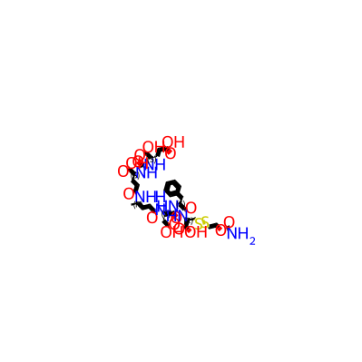 C[C@H](CCC(=O)N[C@@H](CC(=O)O)C(=O)N[C@@H](Cc1ccccc1)C(=O)N[C@@H](CSSCCOC(N)=O)C(=O)O)NC(=O)CC[C@H](NC(=O)N[C@@H](CCC(=O)O)C(=O)O)C(=O)O